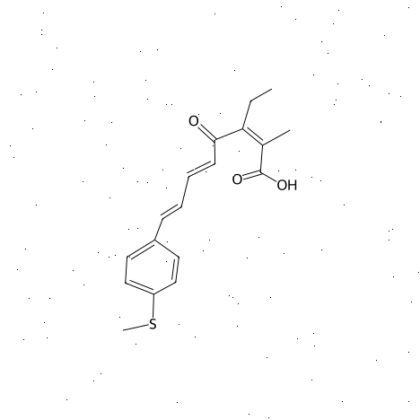 CCC(C(=O)C=C/C=C/c1ccc(SC)cc1)=C(C)C(=O)O